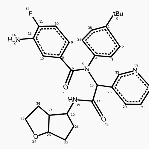 CC(C)(C)c1ccc(N(C(=O)c2ccc(F)c(N)c2)C(C(=O)NC2CCC3OCCC23)c2cccnc2)cc1